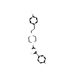 Fc1ccc(CCN2CCN(c3nc(-c4ccc(Cl)cc4)ns3)CC2)cc1